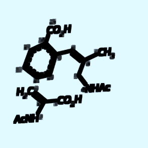 C=C(NC(C)=O)C(=O)O.CC(=O)NCC(C)=Cc1ccccc1C(=O)O